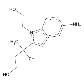 CC(C)(CCO)c1cc2cc(N)ccc2n1CCO